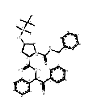 CC(C)(C)[Si](C)(C)O[C@@H]1C[C@H](C(=O)OC(C(=O)c2ccccc2)c2ccccc2)N(C(=O)OCc2ccccc2)C1